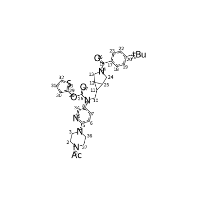 CC(=O)N1CCN(c2ccc(N(CC3C4CN(C(=O)c5ccc(C(C)(C)C)cc5)CC43)C(=O)Oc3cccs3)cn2)CC1